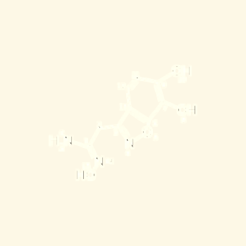 NC(Cc1noc2c(O)c(O)ccc12)=NO